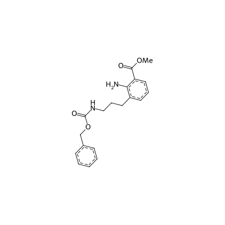 COC(=O)c1cccc(CCCNC(=O)OCc2ccccc2)c1N